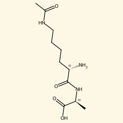 CC(=O)NCCCC[C@H](N)C(=O)N[C@@H](C)C(=O)O